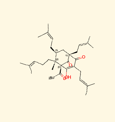 CCC(C)C(=O)[C@]12C(=O)[C@](CC=C(C)C)(C[C@H](CC=C(C)C)[C@@]1(C)CCC=C(C)C)C(=O)C(CC=C(C)C)=C2O